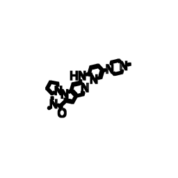 CN1CCN(c2ccc(Nc3cc4c(cn3)cc(C(=O)N(C)C)n4N3CCCC3)nc2)CC1